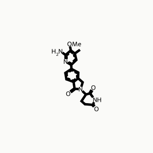 COc1c(C)cc(-c2ccc3c(c2)CN(C2CCC(=O)NC2=O)C3=O)nc1N